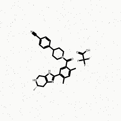 Cc1cc(C)c(-c2nc3c([nH]2)CN[C@@H](C)C3)cc1C(=O)N1CCC(c2ccc(C#N)cc2)CC1.O=C(O)C(F)(F)F